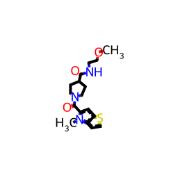 COCCNC(=O)C1CCN(C(=O)c2cc3sccc3n2C)CC1